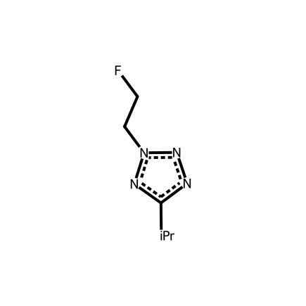 CC(C)c1nnn(CCF)n1